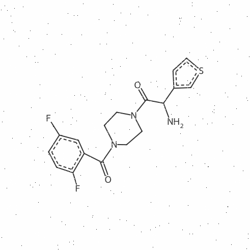 NC(C(=O)N1CCN(C(=O)c2cc(F)ccc2F)CC1)c1ccsc1